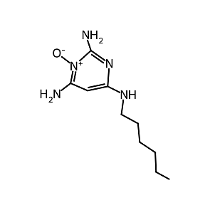 CCCCCCNc1cc(N)[n+]([O-])c(N)n1